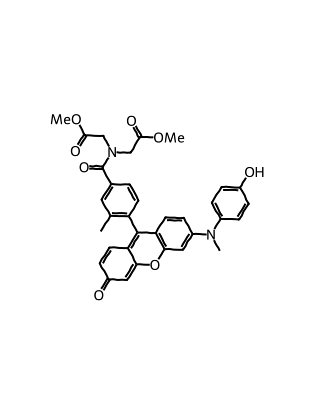 COC(=O)CN(CC(=O)OC)C(=O)c1ccc(-c2c3ccc(=O)cc-3oc3cc(N(C)c4ccc(O)cc4)ccc23)c(C)c1